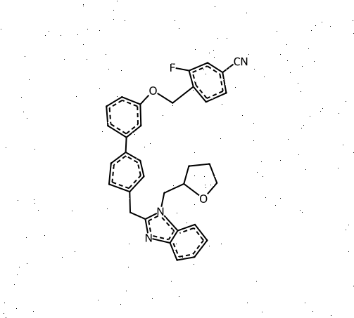 N#Cc1ccc(COc2cccc(-c3ccc(Cc4nc5ccccc5n4CC4CCCO4)cc3)c2)c(F)c1